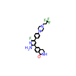 Nc1nc(F)c(-c2ccc(N3CCN(CCC(F)(F)F)CC3)cc2)cc1-c1ccc2c(c1)CCNC2=O